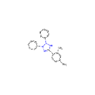 O=[N+]([O-])c1ccc(C2=NN(c3ccccc3)N(c3ccccc3)N2)c([N+](=O)[O-])c1